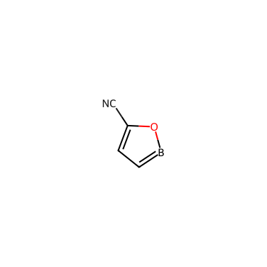 N#Cc1ccbo1